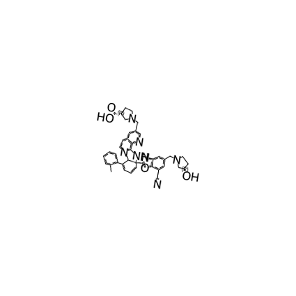 Cc1ccccc1C1=CC=CC(Nc2nccc3cc(CN4CC[C@@H](C(=O)O)C4)cnc23)(c2nc3cc(CN4CC[C@@H](O)C4)cc(C#N)c3o2)C1C